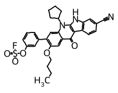 CCCCOc1cc2c(=O)c3c4ccc(C#N)cc4[nH]c3n(C3CCCC3)c2cc1-c1cccc(OS(=O)(=O)F)c1